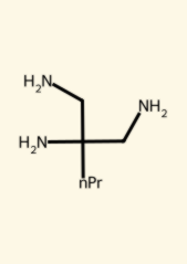 CCCC(N)(CN)CN